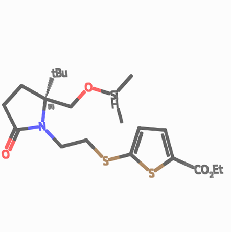 CCOC(=O)c1ccc(SCCN2C(=O)CC[C@]2(CO[SiH](C)C)C(C)(C)C)s1